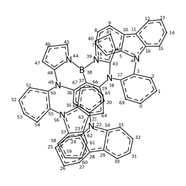 c1ccc(-n2c3ccccc3c3ccccc32)c(N2c3cc(-n4c5ccccc5c5ccccc54)cc4c3B(n3cccc32)n2cccc2N4c2ccccc2-n2c3ccccc3c3ccccc32)c1